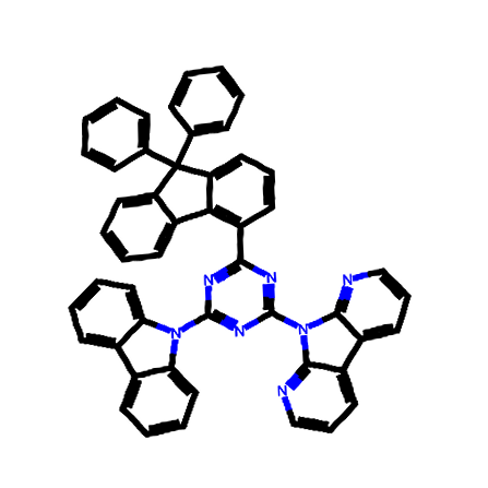 c1ccc(C2(c3ccccc3)c3ccccc3-c3c(-c4nc(-n5c6ccccc6c6ccccc65)nc(-n5c6ncccc6c6cccnc65)n4)cccc32)cc1